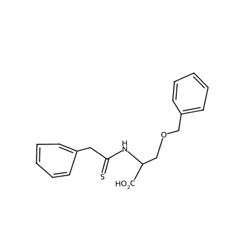 O=C(O)C(COCc1ccccc1)NC(=S)Cc1ccccc1